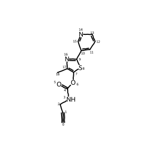 C#CCNC(=O)Oc1sc(-c2cccnc2)nc1C